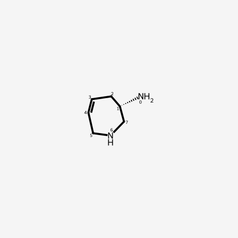 N[C@H]1CC=CCNC1